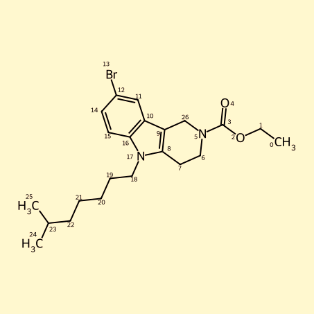 CCOC(=O)N1CCc2c(c3cc(Br)ccc3n2CCCCCC(C)C)C1